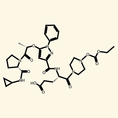 CCOC(=O)ON1CCN(C(=O)[C@H](CCC(=O)O)NC(=O)c2cc(O[C@@H](C)C(=O)N3CCC[C@H]3C(=O)NC3CC3)n(-c3ccccc3)n2)CC1